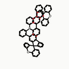 c1ccc(-c2cccc(N(c3ccccc3-c3ccc4c(c3)C3(c5ccccc5Oc5ccccc53)c3ccccc3-4)c3ccccc3-c3ccc4c(c3)C3(c5ccccc5Oc5ccccc53)c3ccccc3-4)c2)cc1